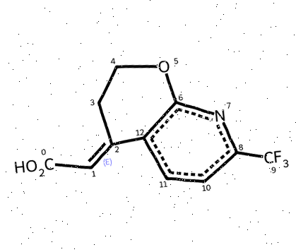 O=C(O)/C=C1\CCOc2nc(C(F)(F)F)ccc21